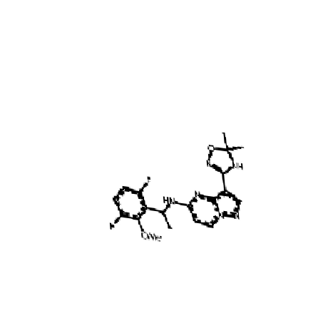 COc1c(F)ccc(F)c1C(C)Nc1ccn2ncc(C3=NOC(C)(C)N3)c2n1